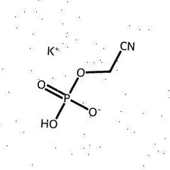 N#CCOP(=O)([O-])O.[K+]